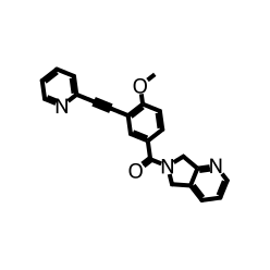 COc1ccc(C(=O)N2Cc3cccnc3C2)cc1C#Cc1ccccn1